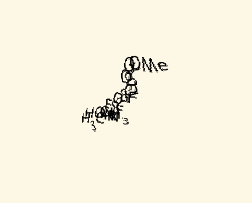 COC(=O)CC1COc2cc(O[C@@H]3CCc4c(Oc5cc(F)c(-c6cnn(CC(C)(C)O)c6)c(F)c5)ccc(F)c43)ccc21